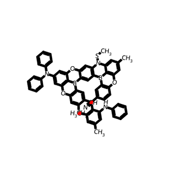 CSN1c2cc3c(cc2B2c4cc(C#N)ccc4Oc4cc(C)cc1c42)B1c2cc(Bc4c(C)cc(C)cc4Nc4ccccc4)c(C)cc2Oc2cc(N(c4ccccc4)c4ccccc4)cc(c21)O3